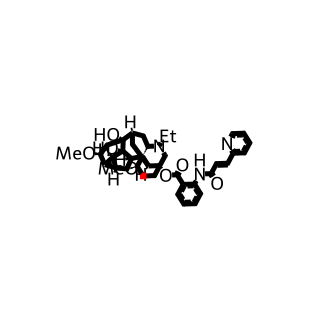 CCN1C[C@]2(OC(=O)c3ccccc3NC(=O)/C=C/c3ccccn3)CC[C@H](OC)[C@]34C1C[C@@H](C[C@H]23)[C@@]1(O)C[C@H](OC)C2[C@H]3C[C@@H]4[C@]1(O)[C@@H]23